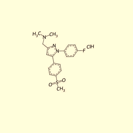 CN(C)Cc1cc(-c2ccc(S(C)(=O)=O)cc2)n(-c2ccc(F)cc2)n1.Cl